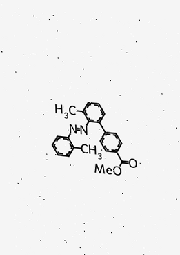 COC(=O)c1ccc(-c2cccc(C)c2/N=N/c2ccccc2C)cc1